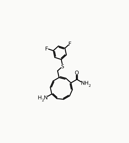 NC(=O)c1ccccc(N)ccc(CSc2cc(F)cc(F)c2)c1